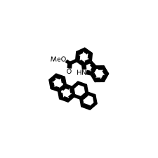 C1=CC2=C(CC1)CCc1c2ccc2ccccc12.COC(=O)c1cccc2c1[nH]c1ccccc12